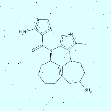 Cn1ncc(N(C(=O)c2ncsc2N)[C@H]2C=CCCCC2)c1N1CCCC(N)CC1